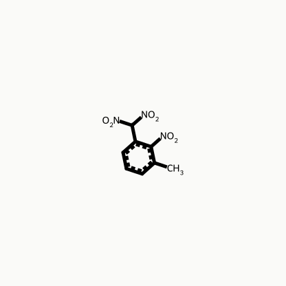 Cc1cccc([C]([N+](=O)[O-])[N+](=O)[O-])c1[N+](=O)[O-]